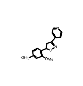 COc1cc([C]=O)ccc1C1CC(c2ccncc2)=NO1